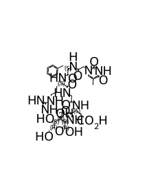 Cc1cn(CC(=O)N[C@@H](Cc2ccccc2)C(=O)N[C@@H](CCCNC(=N)N)C(=O)NCC(=O)N[C@@H](CC(=O)O)C(=O)N[C@@H]2[C@@H](O)[C@H](O)[C@@H](CO)O[C@H]2O)c(=O)[nH]c1=O